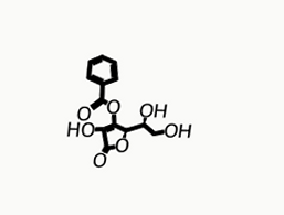 O=C1O[C@H]([C@@H](O)CO)C(OC(=O)c2ccccc2)=C1O